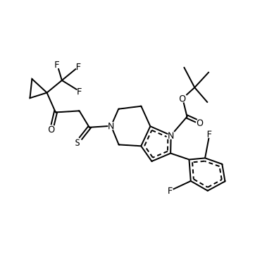 CC(C)(C)OC(=O)n1c(-c2c(F)cccc2F)cc2c1CCN(C(=S)CC(=O)C1(C(F)(F)F)CC1)C2